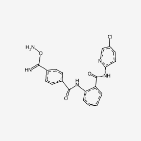 N=C(ON)c1ccc(C(=O)Nc2ccccc2C(=O)Nc2ccc(Cl)cn2)cc1